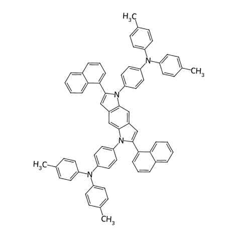 Cc1ccc(N(c2ccc(C)cc2)c2ccc(-n3c(-c4cccc5ccccc45)cc4cc5c(cc(-c6cccc7ccccc67)n5-c5ccc(N(c6ccc(C)cc6)c6ccc(C)cc6)cc5)cc43)cc2)cc1